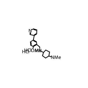 CNC1CCC(NCc2cc(-c3cccnc3)ccc2OC)CC1.Cl.Cl